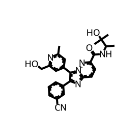 Cc1cc(-c2c(-c3cccc(C#N)c3)nc3ccc(C(=O)NC(C)C(C)(C)O)nn23)cc(CO)n1